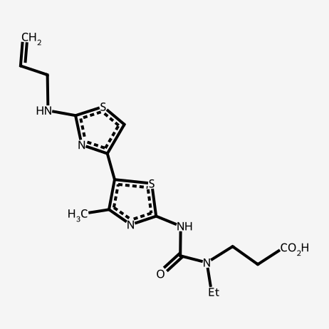 C=CCNc1nc(-c2sc(NC(=O)N(CC)CCC(=O)O)nc2C)cs1